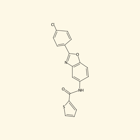 O=C(Nc1ccc2oc(-c3ccc(Cl)cc3)nc2c1)c1cccs1